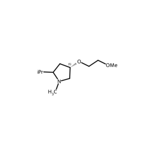 COCCO[C@H]1CC(C(C)C)N(C)C1